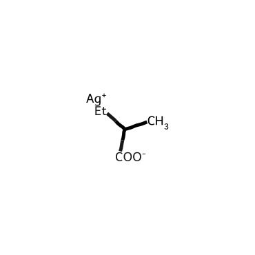 CCC(C)C(=O)[O-].[Ag+]